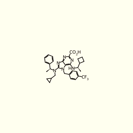 C[C@@H](Nc1nc(C(=O)O)nc2nc(N(CC3CC3)[C@@H](C)c3ccccc3)n(Cc3ccc(C(F)(F)F)cc3)c12)C1CCC1